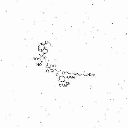 CCCCCCCCCCCCCCCCCCOC[C@H](COP(=O)(O)OC[C@H]1O[C@@](C)(c2ccc3c(N)ncnn23)[C@H](O)[C@@H]1O)Oc1cc(OC)c(C#N)c(OC)c1